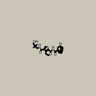 CC(C)(CO)CNC(=O)c1csc2c1CCOC2NC(=O)C12CC3CC1C[C@@H](C3)C2